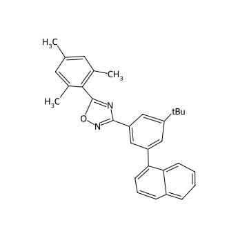 Cc1cc(C)c(-c2nc(-c3cc(-c4cccc5ccccc45)cc(C(C)(C)C)c3)no2)c(C)c1